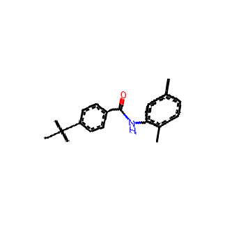 Cc1ccc(C)c(NC(=O)c2ccc(C(C)(C)C)cc2)c1